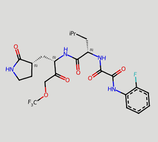 CC(C)C[C@H](NC(=O)C(=O)Nc1ccccc1F)C(=O)N[C@@H](C[C@@H]1CCNC1=O)C(=O)COC(F)(F)F